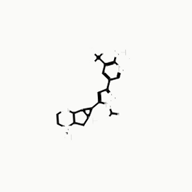 CC(C)n1nc(-c2cnc(N)c(C(F)(F)F)c2)cc1C1C2CC3C(OCCN3C)C21